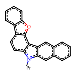 CC(C)n1c2cc3ccccc3cc2c2c3oc4ccccc4c3ccc21